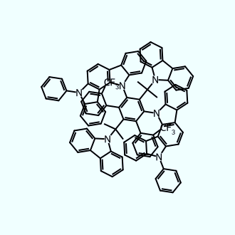 CC(C)(c1c(-c2ccccc2C(F)(F)F)c(-n2c3ccccc3c3ccc4c(c5ccccc5n4-c4ccccc4)c32)c(C(C)(C)n2c3ccccc3c3ccccc32)c(-n2c3ccccc3c3ccc4c(c5ccccc5n4-c4ccccc4)c32)c1-c1ccccc1C(F)(F)F)n1c2ccccc2c2ccccc21